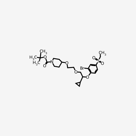 CCS(=O)(=O)c1ccc(OC(COCCOC2CCN(C(=O)OC(C)(C)C)CC2)C2CC2)c(Br)c1